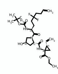 C=CCCC(F)(F)CC[C@H](NC(=O)OC(C)(C)C)C(=O)N1C[C@H](O)C[C@H]1C(=O)N[C@]1(C(=O)OCC)C[C@H]1C=C